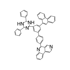 c1ccc(C2N=C(c3cc(-c4ccc(-c5nc6ccccc6c6ccncc56)cc4)cc(-c4cc5ccccc5c5ccccc45)c3)NC(c3ccccc3)N2)cc1